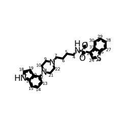 O=S(=O)(NCCCCN1CCN(c2cccc3[nH]ccc23)CC1)c1csc2ccccc12